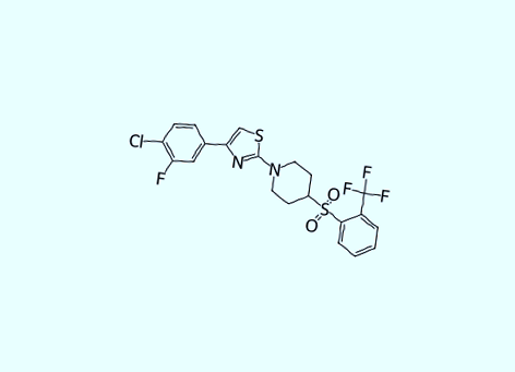 O=S(=O)(c1ccccc1C(F)(F)F)C1CCN(c2nc(-c3ccc(Cl)c(F)c3)cs2)CC1